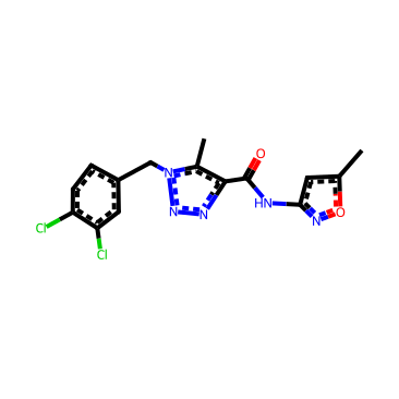 Cc1cc(NC(=O)c2nnn(Cc3ccc(Cl)c(Cl)c3)c2C)no1